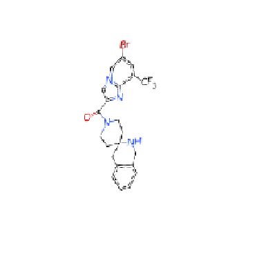 O=C(c1cn2cc(Br)cc(C(F)(F)F)c2n1)N1CCC2(CC1)Cc1ccccc1CN2